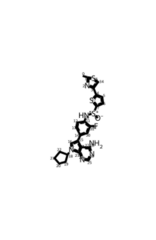 Cc1nc(-c2ccc([S+]([O-])Nc3ccc(-c4cn(C5CCCC5)c5ncnc(N)c45)cc3F)s2)cs1